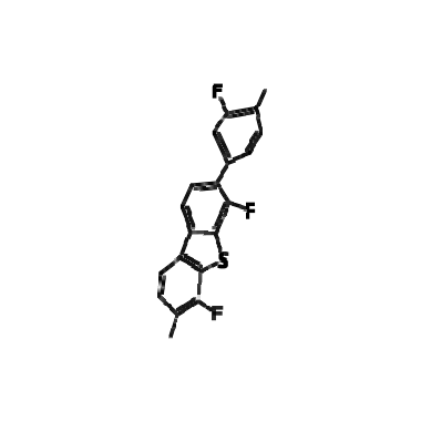 Cc1ccc(-c2ccc3c(sc4c(F)c(C)ccc43)c2F)cc1F